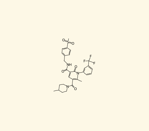 Cc1c(C(=O)N2CCC(C)CC2)cc(C(=O)NCc2ccc(S(C)(=O)=O)cc2)c(=O)n1-c1cccc(C(F)(F)F)c1